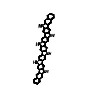 c1ccc2cc3c(cc2c1)[nH]c1cc2c(cc13)[nH]c1cc3c(cc12)[nH]c1cc2c(cc13)[nH]c1cc3c(cc12)[nH]c1cc2c(cc13)[nH]c1cc3ccccc3cc12